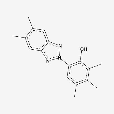 Cc1cc2nn(-c3cc(C)c(C)c(C)c3O)nc2cc1C